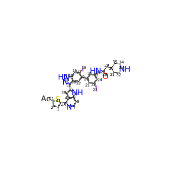 CC(=O)c1ccc(-c2nccc3[nH]c(-c4n[nH]c5cc(I)c(-c6cc(I)cc(NC(=O)CC7CCNCC7)c6)cc45)cc23)s1